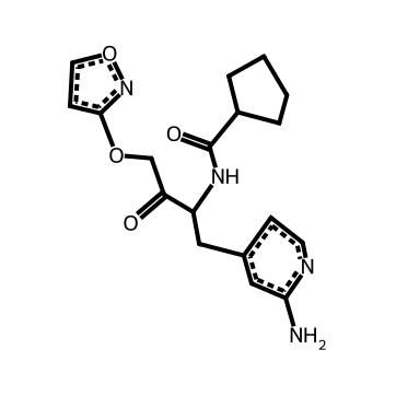 Nc1cc(CC(NC(=O)C2CCCC2)C(=O)COc2ccon2)ccn1